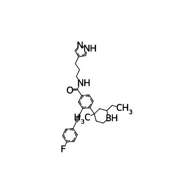 CCC1BCCC(C)(c2ccc(C(=O)NCCCc3cn[nH]c3)cc2C#Cc2ccc(F)cc2)C1